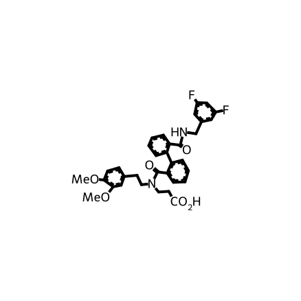 COc1ccc(CCN(CCC(=O)O)C(=O)c2ccccc2-c2ccccc2C(=O)NCc2cc(F)cc(F)c2)cc1OC